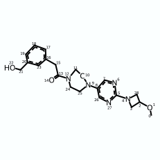 COC1CN(c2ncc(N3CCN(C(=O)Cc4cccc(CO)c4)CC3)cn2)C1